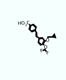 O=C(O)c1ccc(C=Cc2ccc(OC(F)F)c(OCC3CC3)c2)cc1